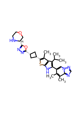 Cc1c(-c2[nH]c3sc([C@H]4C[C@@H](c5nnc([C@H]6COCCN6)o5)C4)c(C)c3c2C(C)C)cn2ncnc2c1C